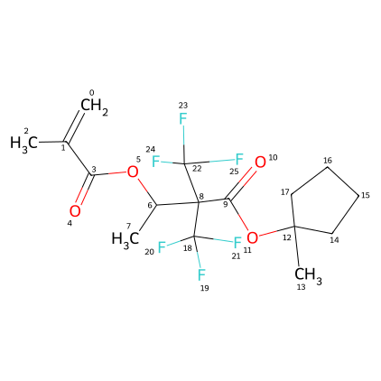 C=C(C)C(=O)OC(C)C(C(=O)OC1(C)CCCC1)(C(F)(F)F)C(F)(F)F